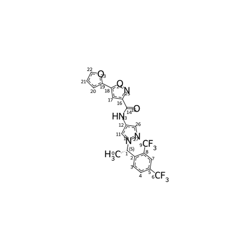 C[C@@H](c1ccc(C(F)(F)F)cc1C(F)(F)F)n1cc(NC(=O)c2cc(-c3ccco3)on2)cn1